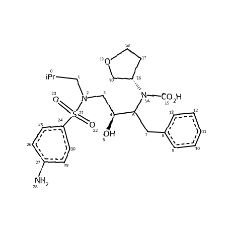 CC(C)CN(C[C@H](O)C(Cc1ccccc1)N(C(=O)O)[C@H]1CCOC1)S(=O)(=O)c1ccc(N)cc1